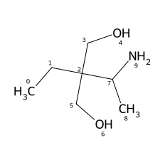 CCC(CO)(CO)C(C)N